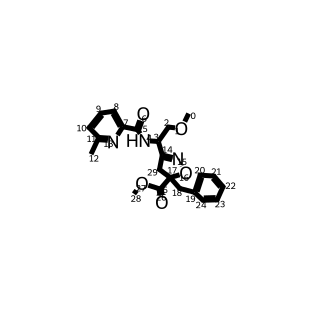 COCC(NC(=O)c1cccc(C)n1)C1=NOC(Cc2ccccc2)(C(=O)OC)C1